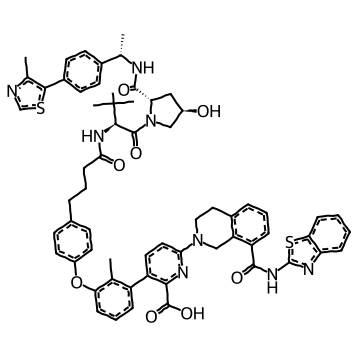 Cc1ncsc1-c1ccc([C@H](C)NC(=O)[C@@H]2C[C@@H](O)CN2C(=O)[C@@H](NC(=O)CCCc2ccc(Oc3cccc(-c4ccc(N5CCc6cccc(C(=O)Nc7nc8ccccc8s7)c6C5)nc4C(=O)O)c3C)cc2)C(C)(C)C)cc1